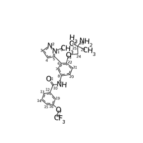 Cn1nccc1-c1cc(NC(=O)c2cccc(OC(F)(F)F)c2)ccc1OCC(C)(C)N